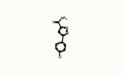 NC(=O)c1cc(-c2ccc(Cl)cc2)no1